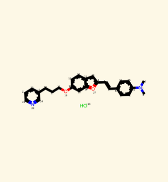 CN(C)c1ccc(C=Cc2cc3ccc(OCCCc4cccnc4)cc3o2)cc1.Cl